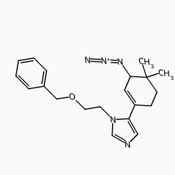 CC1(C)CCC(c2cncn2CCOCc2ccccc2)=CC1N=[N+]=[N-]